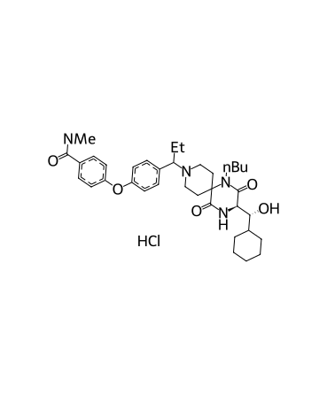 CCCCN1C(=O)[C@@H]([C@H](O)C2CCCCC2)NC(=O)C12CCN(C(CC)c1ccc(Oc3ccc(C(=O)NC)cc3)cc1)CC2.Cl